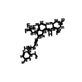 CCc1cc(C)ccc1NCC#Cc1cc2c(NC3=C(F)CN(C)CC3)cccc2n1CC(F)(F)F